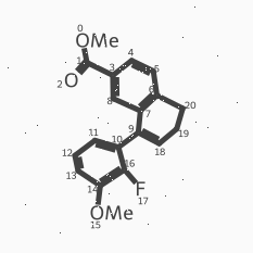 COC(=O)c1ccc2c(c1)C(c1cccc(OC)c1F)=CCC2